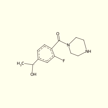 C[C](O)c1ccc(C(=O)N2CCNCC2)c(F)c1